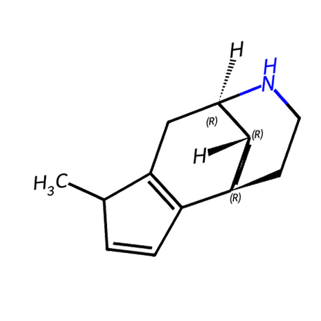 CC1C=CC2=C1C[C@H]1NCC[C@@]23CCCC[C@@H]13